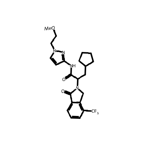 COCCn1ccc(NC(=O)C(CC2CCCC2)N2Cc3c(cccc3C(F)(F)F)C2=O)n1